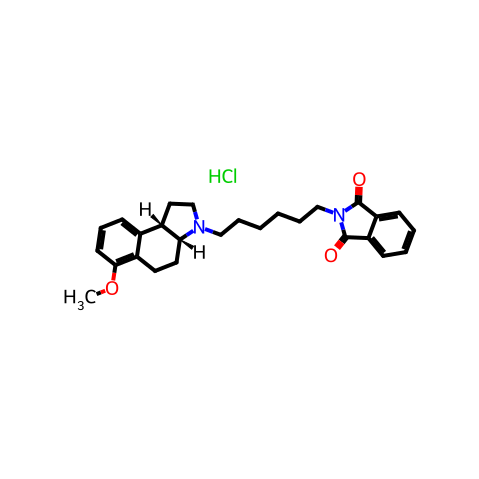 COc1cccc2c1CC[C@@H]1[C@H]2CCN1CCCCCCN1C(=O)c2ccccc2C1=O.Cl